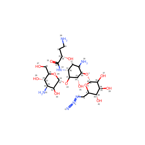 [N-]=[N+]=NCC1O[C@H](O[C@@H]2C(N)C[C@@H](NC(=O)[C@@H](O)CCN)C(O[C@H]3OC(CO)[C@@H](O)[C@H](N)C3O)[C@H]2O)C(O)[C@@H](O)[C@@H]1O